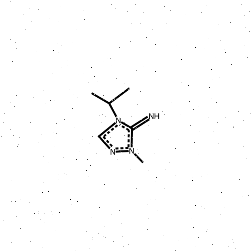 CC(C)n1cnn(C)c1=N